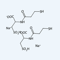 O=C(CCS)NC(CS(=O)(=O)O)C(=O)[O-].O=C(CCS)NC(CS(=O)(=O)O)C(=O)[O-].[Na+].[Na+]